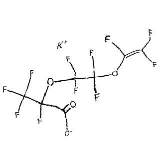 O=C([O-])C(F)(OC(F)(F)C(F)(F)OC(F)=C(F)F)C(F)(F)F.[K+]